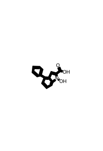 O=C(O)c1cc2c(-c3ccccc3)cccc2n1O